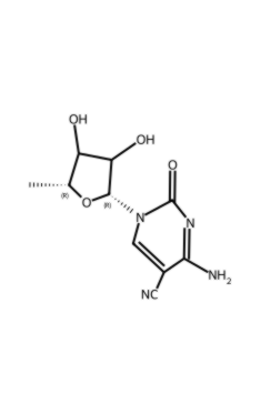 C[C@H]1O[C@@H](n2cc(C#N)c(N)nc2=O)C(O)C1O